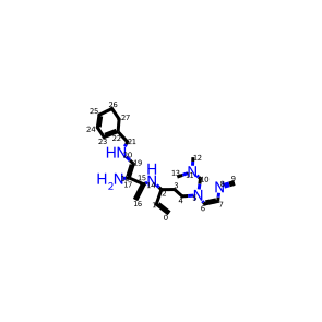 C=CC(CCN(/C=C\N=C)CN(C)C)NC(=C)/C(N)=C/NCC1=CC=CCC1